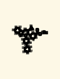 CC(C)(C)OC(=O)N1CC[C@H](c2cccc(-c3ccccc3)c2)[C@@H](C(=O)N(Cc2csc3ccccc23)C2CC2)C1